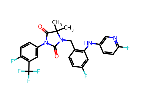 CC1(C)C(=O)N(c2ccc(F)c(C(F)(F)F)c2)C(=O)N1Cc1ccc(F)cc1Nc1ccc(F)nc1